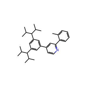 Cc1ccccc1-c1cc(-c2cc(C(C(C)C)C(C)C)cc(C(C(C)C)C(C)C)c2)ccn1